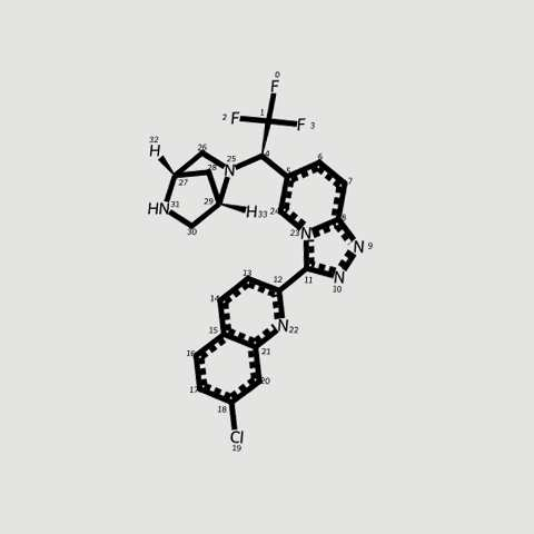 FC(F)(F)[C@@H](c1ccc2nnc(-c3ccc4ccc(Cl)cc4n3)n2c1)N1C[C@@H]2C[C@H]1CN2